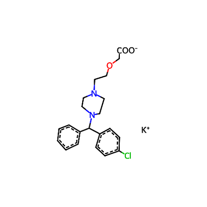 O=C([O-])COCCN1CCN(C(c2ccccc2)c2ccc(Cl)cc2)CC1.[K+]